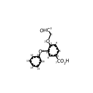 O=CCOc1ccc(C(=O)O)cc1Oc1ccccc1